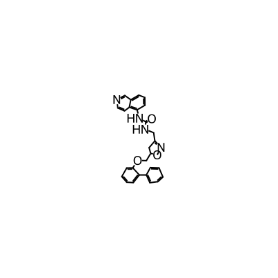 O=C(NCC1=NOC(COc2ccccc2-c2ccccc2)C1)Nc1cccc2cnccc12